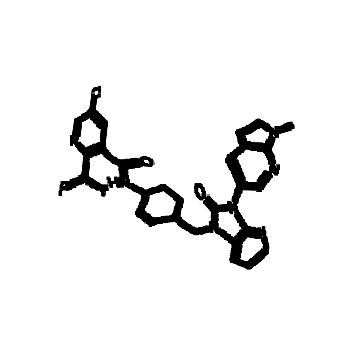 Cn1ccc2cc(-n3c(=O)n(CC4CCC(NC(=O)c5cc(Cl)cnc5C(F)F)CC4)c4cccnc43)cnc21